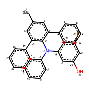 CC(C)(C)c1cc(-c2ccccc2)c(N(c2ccccc2)c2cc(O)cc(Br)c2)c(-c2ccccc2)c1